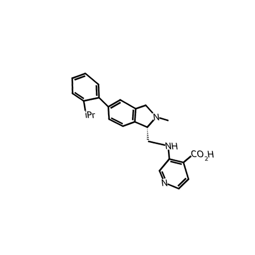 CC(C)c1ccccc1-c1ccc2c(c1)CN(C)[C@@H]2CNc1cnccc1C(=O)O